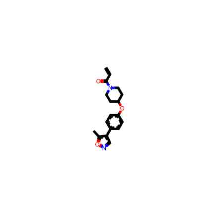 C=CC(=O)N1CCC(Oc2ccc(-c3cnoc3C)cc2)CC1